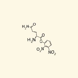 NC(=O)CC[C@H](N)C(=O)Oc1cccc([N+](=O)[O-])c1[N+](=O)[O-]